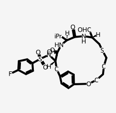 CC(C)[C@@H]1NC(=O)[C@@H](N(C)S(=O)(=O)c2ccc(F)cc2)Cc2ccc(cc2)OCCCCSC[C@@H](C=O)NC1=O